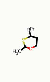 CCCC1CCOC(C)S1